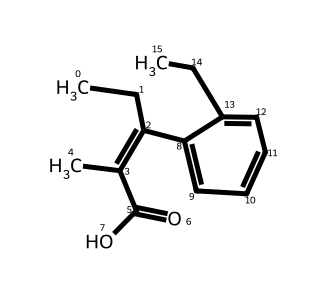 CCC(=C(C)C(=O)O)c1ccccc1CC